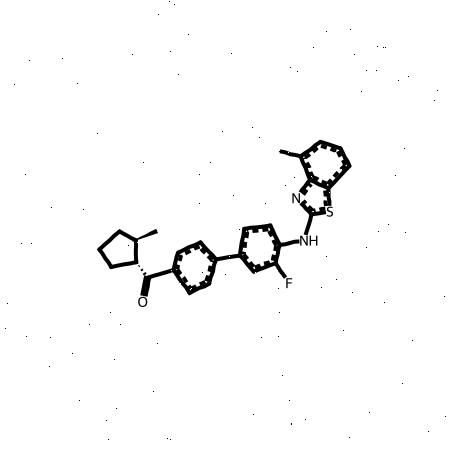 Cc1cccc2sc(Nc3ccc(-c4ccc(C(=O)[C@@H]5CCC[C@H]5C)cc4)cc3F)nc12